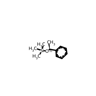 C[C@H](O[Si](C)(C)C)c1ccccc1